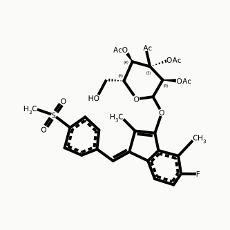 CC(=O)O[C@@H]1[C@@H](CO)O[C](OC2=C(C)C(=Cc3ccc(S(C)(=O)=O)cc3)c3ccc(F)c(C)c32)[C@H](OC(C)=O)[C@]1(OC(C)=O)C(C)=O